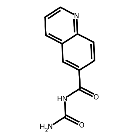 NC(=O)NC(=O)c1ccc2ncccc2c1